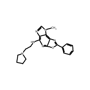 Cn1cnc2c(NCCN3CCCC3)nc3oc(-c4ccccc4)nc3c21